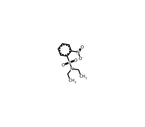 CCN(CC)S(=O)(=O)c1ccccc1[N+](=O)[O-]